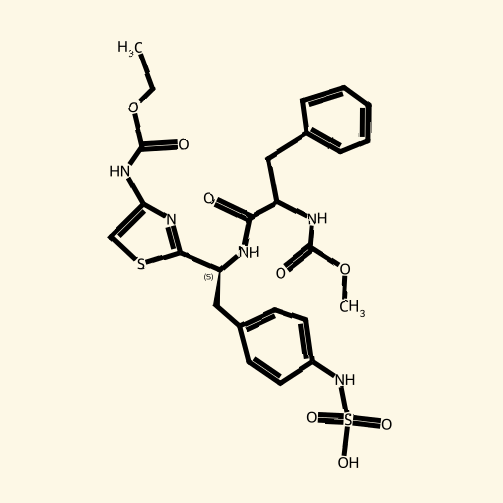 CCOC(=O)Nc1csc([C@H](Cc2ccc(NS(=O)(=O)O)cc2)NC(=O)C(Cc2ccccc2)NC(=O)OC)n1